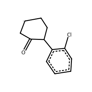 O=C1C[CH]CCC1c1ccccc1Cl